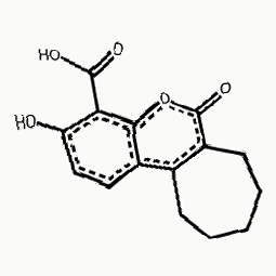 O=C(O)c1c(O)ccc2c3c(c(=O)oc12)CCCCC3